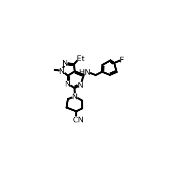 CCc1nn(C)c2nc(N3CCC(C#N)CC3)nc(NCc3ccc(F)cc3)c12